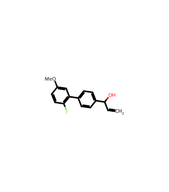 C=CC(O)c1ccc(-c2cc(OC)ccc2F)cc1